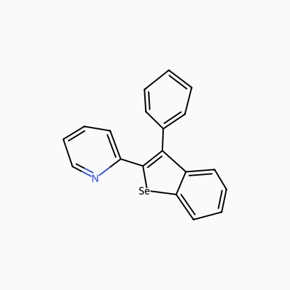 c1ccc(-c2c(-c3ccccn3)[se]c3ccccc23)cc1